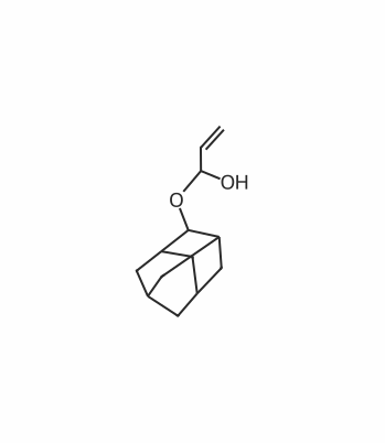 C=CC(O)OC1C2CC3CC(C2)CC1C3